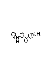 CN1CCC(C(=O)c2cccc(Nc3ccccn3)c2)CC1